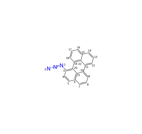 [N-]=[N+]=Nc1ccc2cccc3c4cccc5cccc(c1c23)c54